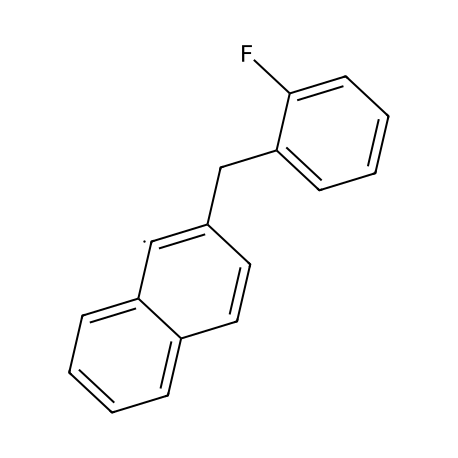 Fc1ccccc1Cc1[c]c2ccccc2cc1